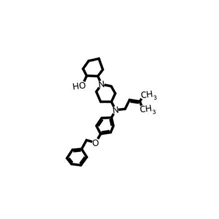 CC(C)=CCN(c1ccc(OCc2ccccc2)cc1)C1CCN(C2CCCCC2O)CC1